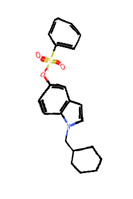 O=S(=O)(Oc1ccc2c(ccn2CC2CCCCC2)c1)c1ccccc1